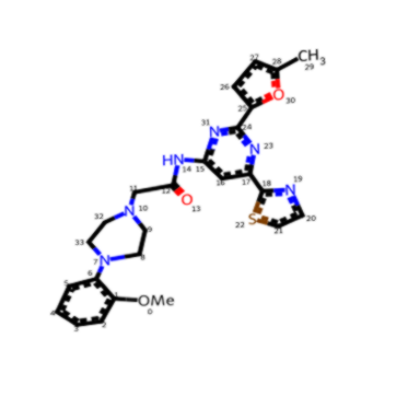 COc1ccccc1N1CCN(CC(=O)Nc2cc(-c3nccs3)nc(-c3ccc(C)o3)n2)CC1